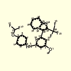 COc1cc(Nc2ccc(OC(F)F)cc2)nc(-c2c(C(F)(F)F)nc3ccccn23)c1